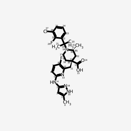 Cc1cc(Nc2ccc(F)c(C[C@@]3(C(=O)O)CCN(C(C)(C)c4cccc(Cl)c4F)[C@H](C)C3)n2)n[nH]1